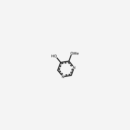 COc1ncncc1O